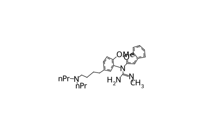 CCCN(CCC)CCCCc1ccc(OC)c(N(C(N)=NC)c2cc3ccccc3o2)c1